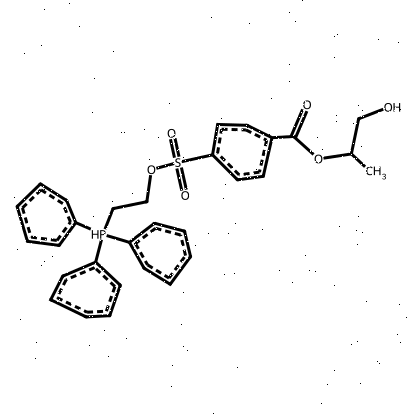 CC(CO)OC(=O)c1ccc(S(=O)(=O)OCC[PH](c2ccccc2)(c2ccccc2)c2ccccc2)cc1